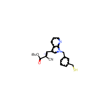 CC(C)COC(=O)/C(C#N)=C/c1cn(Cc2cccc(CS)c2)c2ncccc12